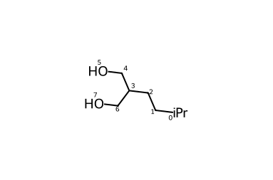 CC(C)CCC(CO)CO